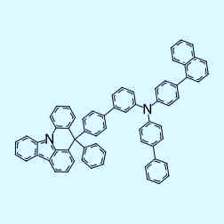 c1ccc(-c2ccc(N(c3ccc(-c4cccc5ccccc45)cc3)c3cccc(-c4ccc(C5(c6ccccc6)c6ccccc6-n6c7ccccc7c7cccc5c76)cc4)c3)cc2)cc1